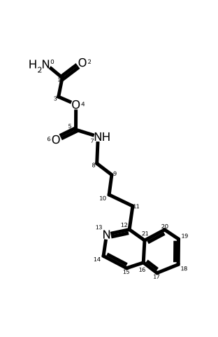 NC(=O)COC(=O)NCCCCc1nccc2ccccc12